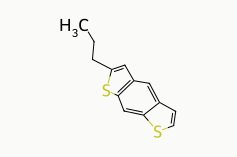 CCCc1cc2cc3ccsc3cc2s1